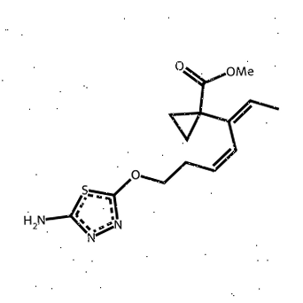 C/C=C(\C=C/CCOc1nnc(N)s1)C1(C(=O)OC)CC1